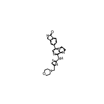 O=C1N=Cc2cc(-c3cnc(Nc4nc(CN5CCOCC5)cs4)c4nccn34)ccc21